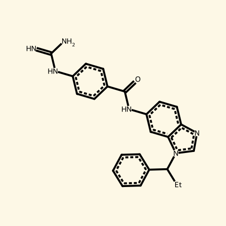 CCC(c1ccccc1)n1cnc2ccc(NC(=O)c3ccc(NC(=N)N)cc3)cc21